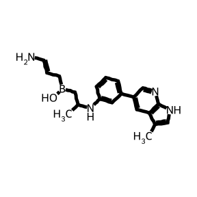 Cc1c[nH]c2ncc(-c3cccc(NC(C)CB(O)C/C=C/N)c3)cc12